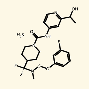 CC(O)c1cc(NC(=O)N2CCC([C@](C)(F)N(C)SOc3cccc(F)c3)CC2)ccn1.S